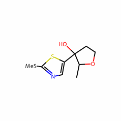 CSc1ncc(C2(O)CCOC2C)s1